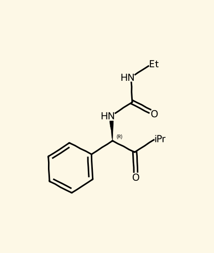 CCNC(=O)N[C@@H](C(=O)C(C)C)c1ccccc1